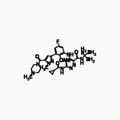 BC(B)(B)NC(=O)c1nnc(NC(=O)C2CC2)cc1Nc1cc(F)cc(-c2cc(C(=O)N3CCN(C)CC3)n(C)n2)c1OC